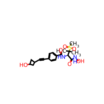 CC(C)([C@H](NC(=O)c1ccc(C#CC2CC(O)C2)cc1)C(=O)NO)S(C)(=O)=O